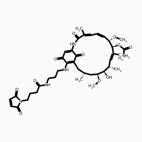 CO[C@H]1/C=C\C=C(/C)C(=O)NC2=CC(=O)C(NCCCNC(=O)CCCN3C(=O)C=CC3=O)=C(C[C@@H](C)C[C@H](OC)[C@H](O)[C@@H](C)/C=C(\C)[C@@H]1OC(N)=O)C2=O